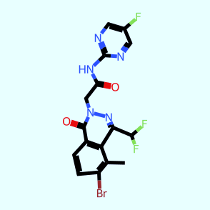 Cc1c(Br)ccc2c(=O)n(CC(=O)Nc3ncc(F)cn3)nc(C(F)F)c12